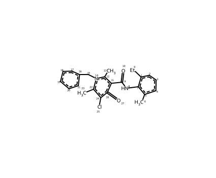 CCc1cccc(C)c1NC(=O)c1c(C)n(Cc2ccccc2)c(C)c(Cl)c1=O